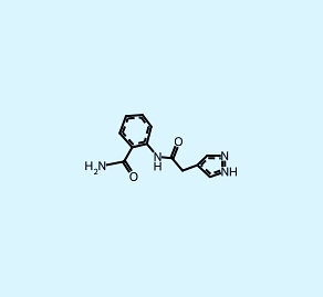 NC(=O)c1ccccc1NC(=O)Cc1cn[nH]c1